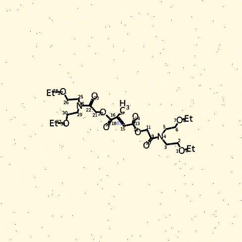 CCOCCN(CCOCC)C(=O)COC(=O)/C=C(\C)C(=O)OCC(=O)N(CCOCC)CCOCC